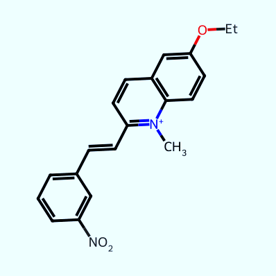 CCOc1ccc2c(ccc(/C=C/c3cccc([N+](=O)[O-])c3)[n+]2C)c1